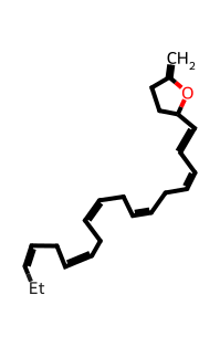 C=C1CCC(/C=C/C=C\C/C=C\C/C=C\C/C=C\C/C=C\CC)O1